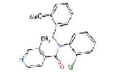 COc1ccccc1CN(C(=O)c1ccncc1C)c1ccccc1Cl